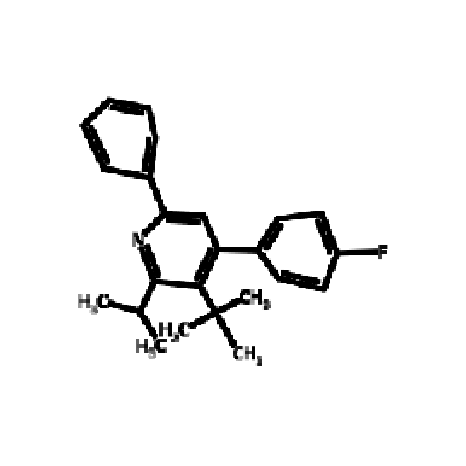 CC(C)c1nc(-c2ccccc2)cc(-c2ccc(F)cc2)c1C(C)(C)C